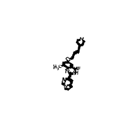 Cc1cc(OCCCc2ccncc2)cc2c(=O)[nH]c(-c3cc4cccn4cn3)nc12.Cl